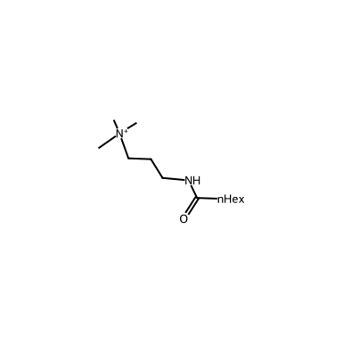 CCCCCCC(=O)NCCC[N+](C)(C)C